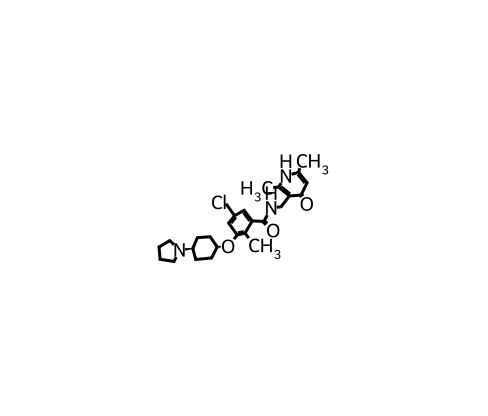 Cc1cc(=O)c(CNC(=O)c2cc(Cl)cc(O[C@H]3CC[C@H](N4CCCC4)CC3)c2C)c(C)[nH]1